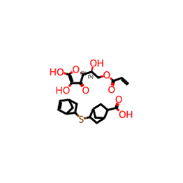 C=CC(=O)OC[C@H](O)[C@H]1OC(O)=C(O)C1=O.O=C(O)C1CC2CC1CC2SC1CC2C=CC1C2